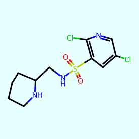 O=S(=O)(NCC1CCCCN1)c1cc(Cl)cnc1Cl